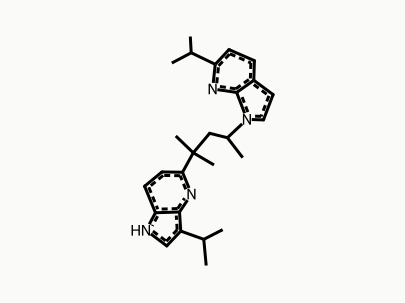 CC(C)c1ccc2ccn(C(C)CC(C)(C)c3ccc4[nH]cc(C(C)C)c4n3)c2n1